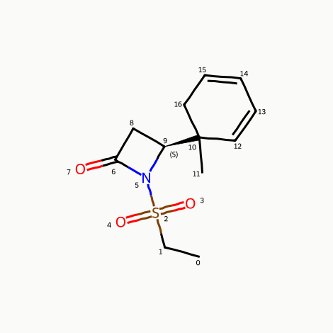 CCS(=O)(=O)N1C(=O)C[C@H]1C1(C)C=CC=CC1